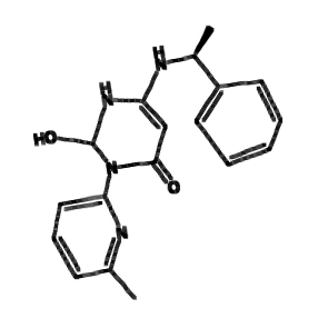 Cc1cccc(N2C(=O)C=C(N[C@@H](C)c3ccccc3)NC2O)n1